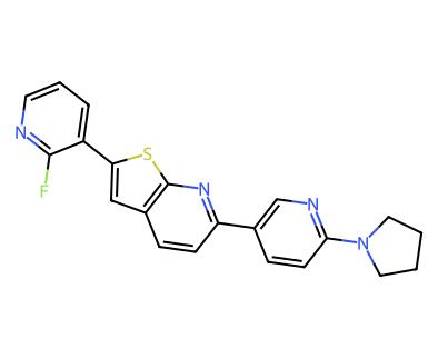 Fc1ncccc1-c1cc2ccc(-c3ccc(N4CCCC4)nc3)nc2s1